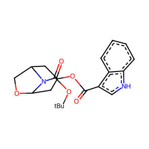 CC(C)(C)OC(=O)N1C2COC1CC(OC(=O)c1c[nH]c3ccccc13)C2